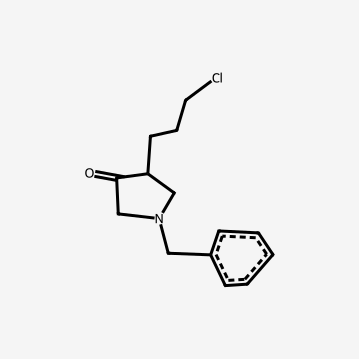 O=C1CN(Cc2ccccc2)CC1CCCCl